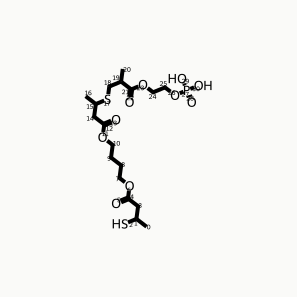 CC(S)CC(=O)OCCCCOC(=O)CC(C)SCC(C)C(=O)OCCOP(=O)(O)O